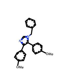 COc1ccc(-c2ncn(Cc3ccccc3)c2-c2ccc(OC)cc2)cc1